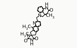 Cc1c2c(cc3ccc(CN4CC5(C)CC(=O)Nc6cccc4c65)nc13)CC1(C2)C(=O)NC(=O)N1C